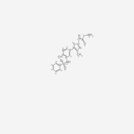 Cc1nc(NC(=O)CN)sc1-c1cnc(Cl)c(NS(=O)(=O)c2ccccc2)c1